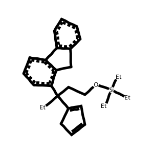 CCC(CCO[Si](CC)(CC)CC)(C1=CC=CC1)c1cccc2c1Cc1ccccc1-2